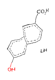 O=C(O)c1ccc2cc(O)ccc2c1.[LiH]